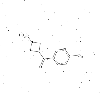 O=C(c1ccc(C(F)(F)F)nc1)C1CN(C(=O)O)C1